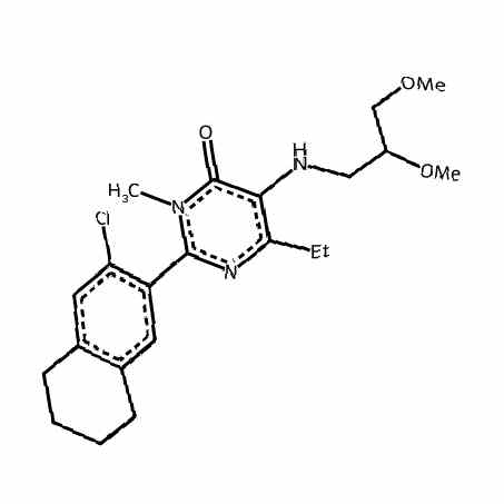 CCc1nc(-c2cc3c(cc2Cl)CCCC3)n(C)c(=O)c1NCC(COC)OC